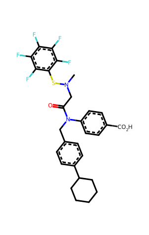 CN(CC(=O)N(Cc1ccc(C2CCCCC2)cc1)c1ccc(C(=O)O)cc1)Sc1c(F)c(F)c(F)c(F)c1F